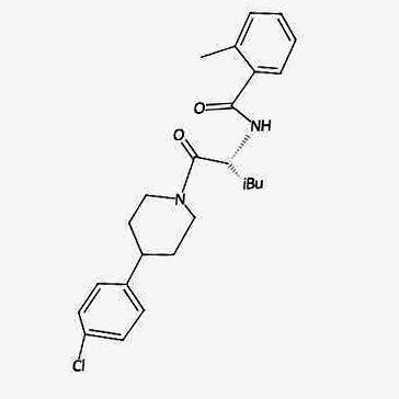 CC[C@@H](C)[C@@H](NC(=O)c1ccccc1C)C(=O)N1CCC(c2ccc(Cl)cc2)CC1